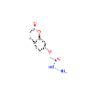 NNC(=O)COc1ccc2ccc(=O)oc2c1